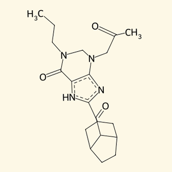 CCCN1CN(CC(C)=O)c2nc(C3CC4CCC(C3)C4C=O)[nH]c2C1=O